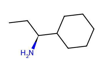 CC[C@H](N)C1CCCCC1